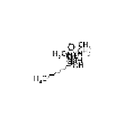 CCCCCCCCCCP(=O)(O)NC(=O)Nc1c(C(C)C)cccc1C(C)C